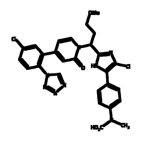 COCCC(c1nc(Cl)c(-c2ccc(N(C)C(=O)O)cc2)[nH]1)n1ccc(-c2cc(Cl)ccc2-n2cnnn2)cc1=O